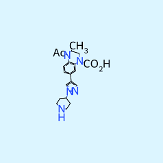 CC(=O)N1c2ccc(-c3cnn(C4CCNCC4)c3)cc2N(C(=O)O)CC1C